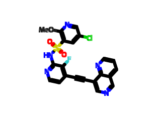 COc1ncc(Cl)cc1S(=O)(=O)Nc1nccc(C#Cc2cncc3cccnc23)c1F